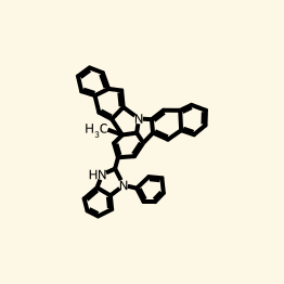 CC12C=C(C3Nc4ccccc4N3c3ccccc3)C=C3c4cc5ccccc5cc4N(c4cc5ccccc5cc41)C32